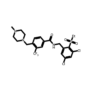 CCS(=O)(=O)c1c(Cl)cc(Cl)cc1CNC(=O)c1ccc(CN2CCN(C)CC2)c(C(F)(F)F)c1